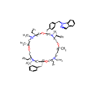 CC(C)C[C@H]1CO[C@H](C)CN(C)[C@@H](CC(C)C)CO[C@H](Cc2ccccc2)CN(C)[C@@H](CC(C)C)CO[C@H](C)CN(C)[C@@H](CC(C)C)CO[C@H](Cc2ccc(Cn3ncc4ccccc43)cc2)CN1C